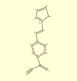 C#CC(=O)c1ccc(/C=C/C2=CC=CC2)cc1